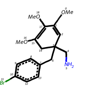 COC1=CC(CN)(Cc2ccc(Br)cc2)CC(OC)=C1OC